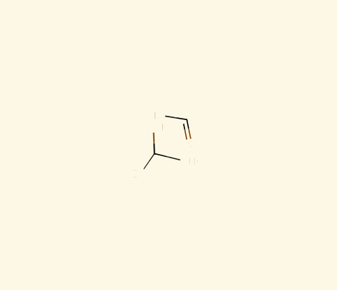 CC(C)C=S.CCC(S)C=O